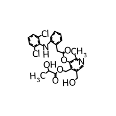 Cc1ncc(CO)c(COC(=O)C(C)O)c1OC(=O)Cc1ccccc1Nc1c(Cl)cccc1Cl